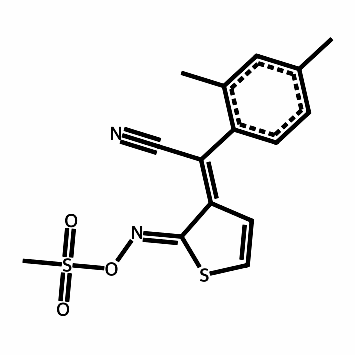 Cc1ccc(/C(C#N)=C2\C=CS\C2=N/OS(C)(=O)=O)c(C)c1